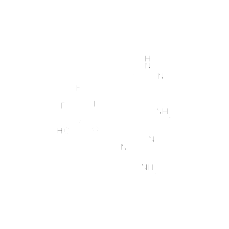 Nc1ncc(-c2cccc3[nH]ncc23)c(N)n1.O=C(O)C(F)(F)F